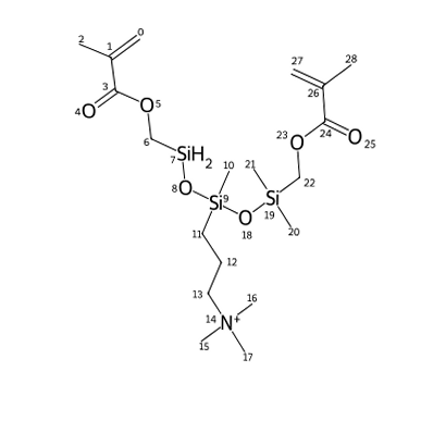 C=C(C)C(=O)OC[SiH2]O[Si](C)(CCC[N+](C)(C)C)O[Si](C)(C)COC(=O)C(=C)C